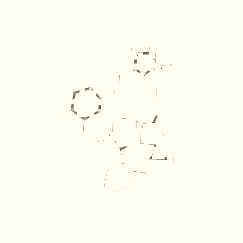 Cn1nnc(COc2ccc(Cl)c3c2[C@@H](CN2CC4(CC4)CC2=O)N(C(=O)[C@@H]2CCCC[C@]2(C)C(=O)O)CC3)c1C(F)(F)F